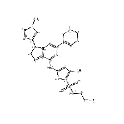 Cc1cc(NC2=NC(C3=CCCNC3)=CN3C2=NCC3c2cnn(C)c2)sc1S(=O)(=O)NCCO